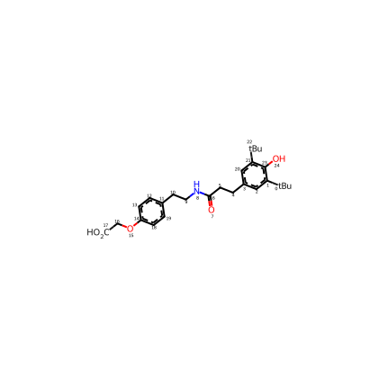 CC(C)(C)c1cc(CCC(=O)NCCc2ccc(OCC(=O)O)cc2)cc(C(C)(C)C)c1O